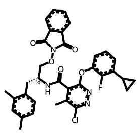 Cc1ccc(C[C@H](CON2C(=O)c3ccccc3C2=O)NC(=O)c2c(Oc3cccc(C4CC4)c3F)nnc(Cl)c2C)c(C)c1